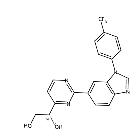 OC[C@@H](O)c1ccnc(-c2ccc3ncn(-c4ccc(C(F)(F)F)cc4)c3c2)n1